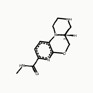 CNC(=O)c1ccc2c(n1)OC[C@H]1CNCCN21